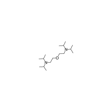 CC(C)N(CCOCCN(C(C)C)C(C)C)C(C)C